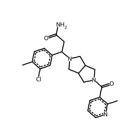 Cc1ccc(C(CC(N)=O)N2CC3CN(C(=O)c4cccnc4C)CC3C2)cc1Cl